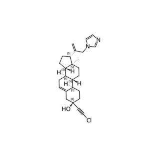 C=C(Cn1ccnc1)[C@H]1CC[C@H]2[C@@H]3CC=C4C[C@@](O)(C#CCl)CC[C@@H]4[C@H]3CC[C@]12C